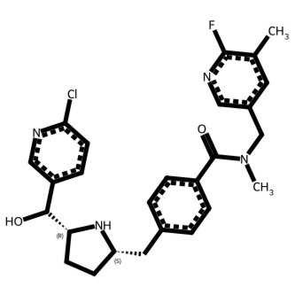 Cc1cc(CN(C)C(=O)c2ccc(C[C@@H]3CC[C@H](C(O)c4ccc(Cl)nc4)N3)cc2)cnc1F